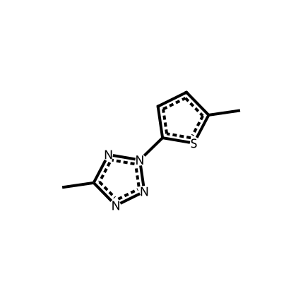 Cc1nnn(-c2ccc(C)s2)n1